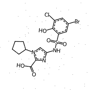 O=C(O)c1nc(NS(=O)(=O)c2cc(Br)cc(Cl)c2O)cn1C1CCCC1